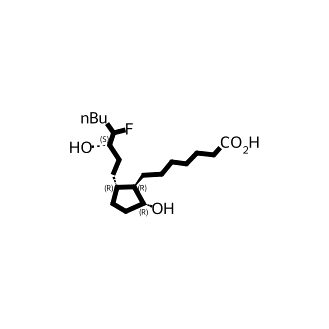 CCCCC(F)[C@@H](O)CC[C@H]1CC[C@@H](O)[C@@H]1CCCCCCC(=O)O